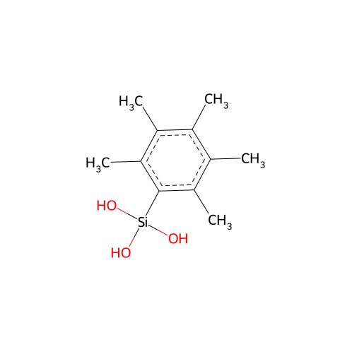 Cc1c(C)c(C)c([Si](O)(O)O)c(C)c1C